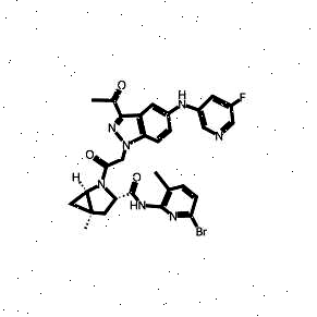 CC(=O)c1nn(CC(=O)N2[C@H](C(=O)Nc3nc(Br)ccc3C)C[C@@]3(C)C[C@@H]23)c2ccc(Nc3cncc(F)c3)cc12